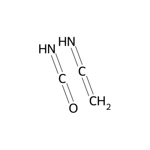 C=C=N.N=C=O